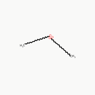 CCCCCCCCCCCCCCCCCCCCC(=O)OC(=O)CCCCCCCCCCCCCCCCCCCC